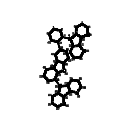 c1ccc(-n2c3cccnc3c3ncccc32)c(-c2ccc3oc4c(-n5c6cccnc6c6ncccc65)cccc4c3c2)c1